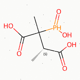 C[C@@H](C(=O)O)C(C)(C(=O)O)[PH](=O)O